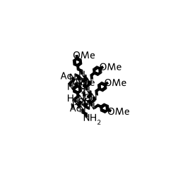 COc1ccc(CCN(CC(C)=O)C(=O)CN(CCN)C(=O)CN(CCc2ccc(OC)cc2)C(=O)CN(CCc2ccc(OC)cc2)C(=O)CN(CCN)C(=O)CN(CCc2ccc(OC)cc2)C(=O)CN(CCc2ccc(OC)cc2)C(=O)CN(CCN)C(C)=O)cc1